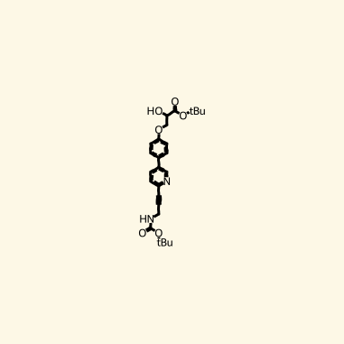 CC(C)(C)OC(=O)NCC#Cc1ccc(-c2ccc(OCC(O)C(=O)OC(C)(C)C)cc2)cn1